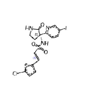 O=C1NCC[C@]1(NS(=O)(=O)/C=C/c1ccc(Cl)s1)c1ccc(I)cn1